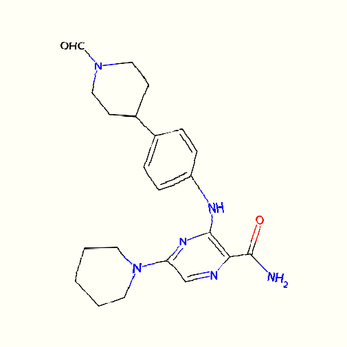 NC(=O)c1ncc(N2CCCCC2)nc1Nc1ccc(C2CCN(C=O)CC2)cc1